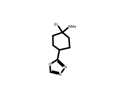 CCC1(NC)CCC(c2nnco2)CC1